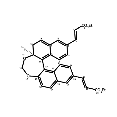 CCOC(=O)/C=C/c1ccc2c(c1)=CC[C@@H]1OCOc3ccc4cc(/C=C/C(=O)OCC)ccc4c3C=21